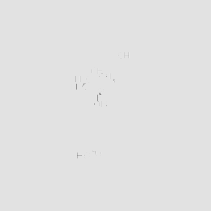 CCCCCCCCC(CCCCCCCCC(=O)O)P(=O)(O)CC(C)CC(C)(C)C